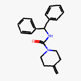 C=C1CCN(C(=O)NC(c2ccccc2)c2ccccc2)CC1